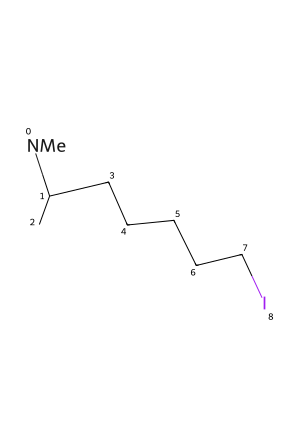 CNC(C)CCCCCI